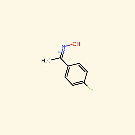 C/C(=N/O)c1ccc(F)cc1